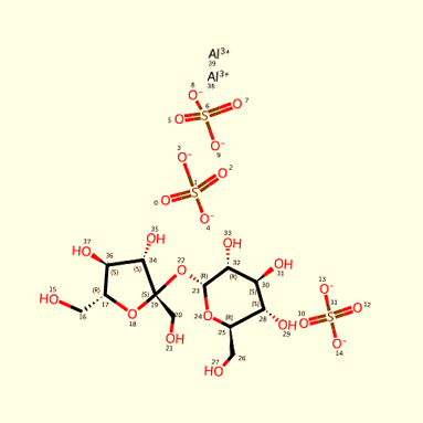 O=S(=O)([O-])[O-].O=S(=O)([O-])[O-].O=S(=O)([O-])[O-].OC[C@H]1O[C@@](CO)(O[C@H]2O[C@H](CO)[C@@H](O)[C@H](O)[C@H]2O)[C@@H](O)[C@@H]1O.[Al+3].[Al+3]